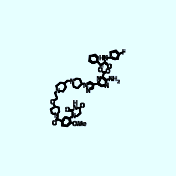 COc1ccc(C(=O)N2CCC(OCCN3CCC(CN4CCC(n5cc(-c6cnc(N)c(C(=O)O[C@@H](C(=O)Nc7ccc(F)cc7)c7ccccc7)n6)cn5)CC4)CC3)CC2)cc1N1CCC(=O)NC1=O